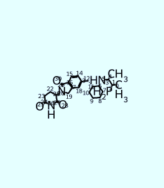 CC(P)C(C)NC1CCCC[C@@H]1Cc1ccc2c(c1)CN(C1CCC(=O)NC1=O)C2=O